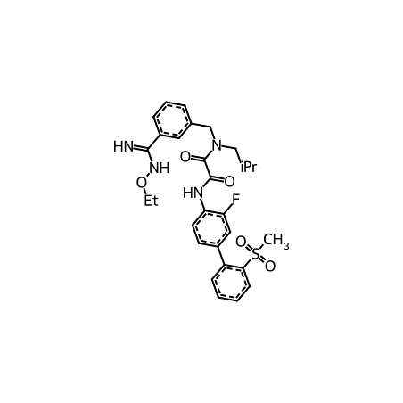 CCONC(=N)c1cccc(CN(CC(C)C)C(=O)C(=O)Nc2ccc(-c3ccccc3S(C)(=O)=O)cc2F)c1